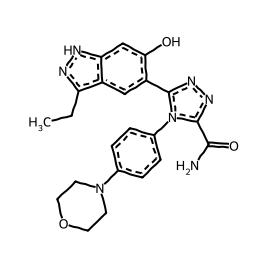 CCc1n[nH]c2cc(O)c(-c3nnc(C(N)=O)n3-c3ccc(N4CCOCC4)cc3)cc12